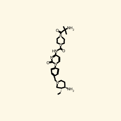 CC[C@@H]1CN(Cc2ccc(-n3ccc(NC(=O)N4CCN(C(=O)C(C)(C)N)CC4)nc3=O)cc2)CC[C@H]1N